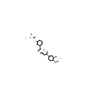 CN1CCc2ccc(-c3cnn4c(-c5cccc(NC(=O)N(C)C)c5)cnc4c3)cc2C1